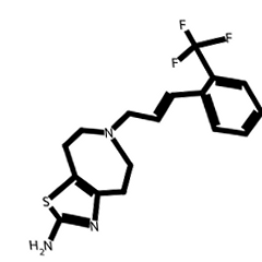 Nc1nc2c(s1)CCN(CC=Cc1ccccc1C(F)(F)F)CC2